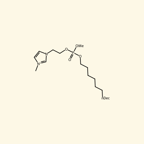 CCCCCCCCCCCCCCCCOP(=O)(OC)OCCn1cc[n+](C)c1